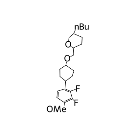 CCCCC1CCC(COC2CCC(c3ccc(OC)c(F)c3F)CC2)OC1